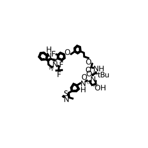 Cc1ncsc1-c1ccc(CNC(=O)[C@@H]2C[C@@H](O)CN2C(=O)[C@@H](NC(=O)COCCCc2cccc(COc3cc(F)c([C@@H]4c5[nH]c6ccccc6c5C[C@@H](C)N4CC(C)(C)F)c(F)c3)c2)C(C)(C)C)cc1